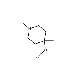 CCOC1(C)CCN(C)CC1